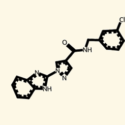 O=C(NCc1cccc(Cl)c1)c1cnn(-c2nc3ccccc3[nH]2)c1